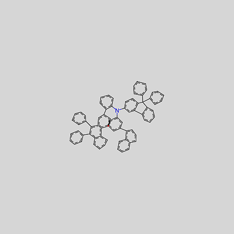 c1ccc(-c2c(-c3ccccc3)c3cc(-c4ccccc4N(c4cccc(-c5cccc6ccccc56)c4)c4ccc5c(c4)-c4ccccc4C5(c4ccccc4)c4ccccc4)ccc3c3ccccc23)cc1